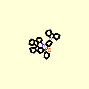 O=P1(c2ccccc2)c2ccc(-n3c4ccccc4c4ccccc43)cc2N2c3ccccc3C(c3ccccc3)(c3ccccc3)c3cccc1c32